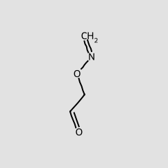 C=NOCC=O